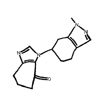 Cn1ncc2c1CC(n1cnc3c1C(=O)CCC3)CC2